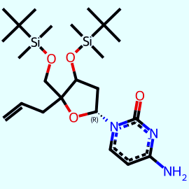 C=CCC1(CO[Si](C)(C)C(C)(C)C)O[C@@H](n2ccc(N)nc2=O)CC1O[Si](C)(C)C(C)(C)C